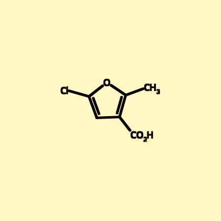 Cc1oc(Cl)cc1C(=O)O